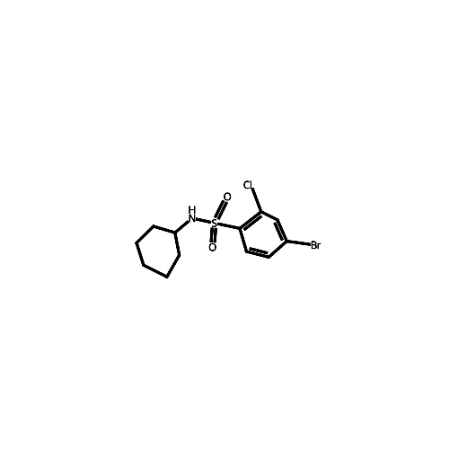 O=S(=O)(NC1CCCCC1)c1ccc(Br)cc1Cl